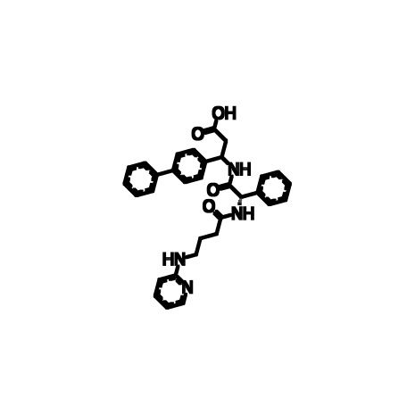 O=C(O)CC(NC(=O)[C@@H](NC(=O)CCCNc1ccccn1)c1ccccc1)c1ccc(-c2ccccc2)cc1